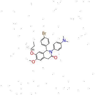 CC[C@@H](C)Oc1cc2c(cc1OC)CC(=O)N(c1ccc(N(C)C)cc1)C2c1ccc(Br)cc1